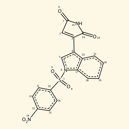 O=C1C=C(c2cn(S(=O)(=O)c3ccc([N+](=O)[O-])cc3)c3ccccc23)C(=O)N1